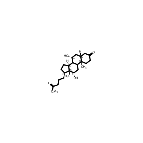 COC(=O)CCC[C@H]1CC[C@H]2C3C(C[C@H](O)[C@]12C)[C@@]1(C)CCC(=O)C[C@H]1C[C@H]3O